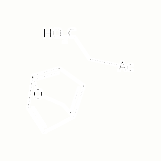 CC(=O)CC(=O)O.c1cc2ccc1CO2